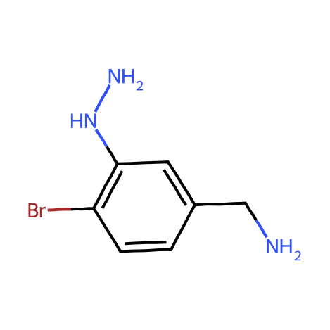 NCc1ccc(Br)c(NN)c1